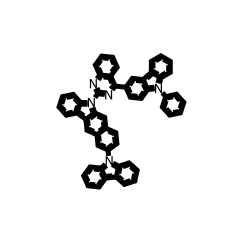 c1ccc(-n2c3ccccc3c3cc(-c4nc(-n5c6ccccc6c6cc7cc(-n8c9ccccc9c9ccccc98)ccc7cc65)nc5ccccc45)ccc32)cc1